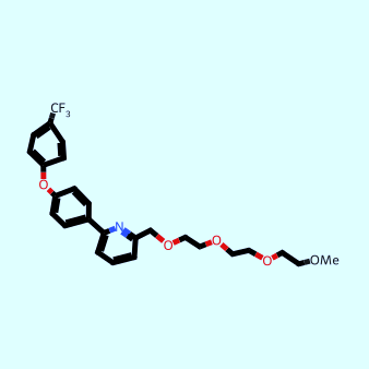 COCCOCCOCCOCc1cccc(-c2ccc(Oc3ccc(C(F)(F)F)cc3)cc2)n1